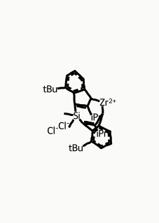 CC(C)C1=C2c3c(cccc3C(C)(C)C)[CH]1[Zr+2][CH]1C(C(C)C)=C(c3c1cccc3C(C)(C)C)[Si]2(C)C.[Cl-].[Cl-]